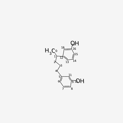 CC(CCCc1cccc(O)c1)c1cccc(O)c1